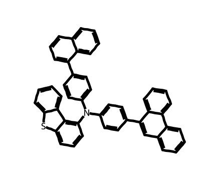 c1ccc2c(-c3ccc(N(c4ccc(-c5cc6ccccc6c6ccccc56)cc4)c4cccc5sc6ccccc6c45)cc3)cccc2c1